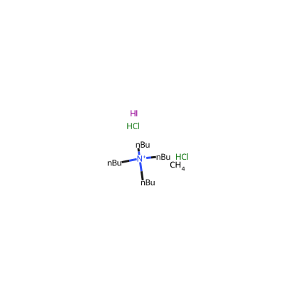 C.CCCC[N+](CCCC)(CCCC)CCCC.Cl.Cl.I